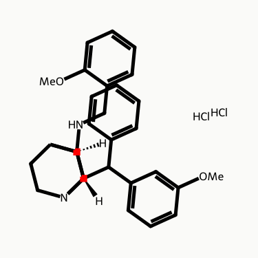 COc1cccc(C(c2ccccc2)[C@H]2[C@H](NCc3ccccc3OC)C3CCN2CC3)c1.Cl.Cl